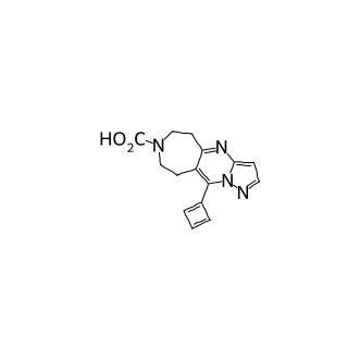 O=C(O)N1CCc2nc3ccnn3c(C3=CC=C3)c2CC1